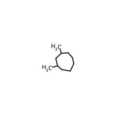 CC1CCCCCC(C)C1